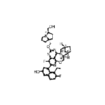 CCc1c(F)ccc2cc(O)cc(-c3nc4c5c(nc(OC[C@]67CCCN6[C@@H](CO)CC7)nc5c3F)N3C[C@@H]5CC[C@@H](N5)[C@H]3CO4)c12